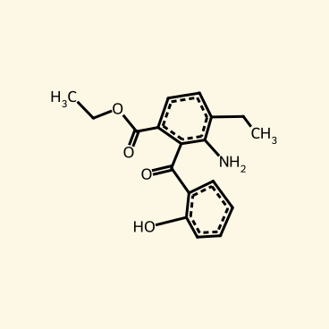 CCOC(=O)c1ccc(CC)c(N)c1C(=O)c1ccccc1O